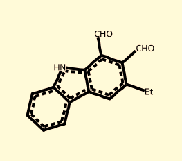 CCc1cc2c([nH]c3ccccc32)c(C=O)c1C=O